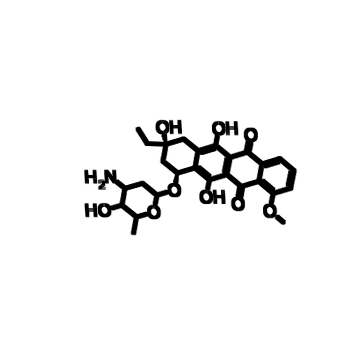 CC[C@]1(O)Cc2c(O)c3c(c(O)c2[C@@H](OC2CC(N)C(O)C(C)O2)C1)C(=O)c1c(OC)cccc1C3=O